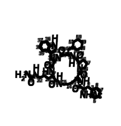 CC(=O)N[C@@H](Cc1ccccc1)C(=O)N[C@H]1CCCNC(=O)C(CCCNC(N)=O)NC(=O)C(Cc2c[nH]c3ccccc23)NC(=O)[C@@H](CC2CCCCC2)NC(=O)C2CCCN2C1=O